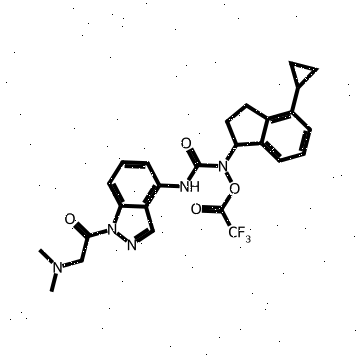 CN(C)CC(=O)n1ncc2c(NC(=O)N(OC(=O)C(F)(F)F)C3CCc4c(C5CC5)cccc43)cccc21